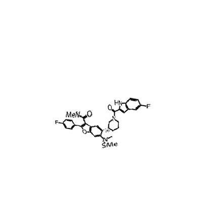 CNC(=O)c1c(-c2ccc(F)cc2)oc2cc(N(C)SC)c([C@H]3CCCN(C(=O)c4cc5cc(F)ccc5[nH]4)C3)cc12